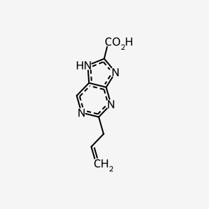 C=CCc1ncc2[nH]c(C(=O)O)nc2n1